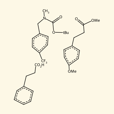 CN(Cc1ccc(C(F)(F)F)cc1)C(=O)OC(C)(C)C.COC(=O)CCc1ccc(OC)cc1.O=C(O)CCc1ccccc1